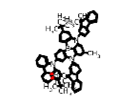 Cc1cc2c3c(c1)N(c1ccc4c(c1)C(C)(C)c1ccccc1-4)c1cc(C(C)(C)C)ccc1B3c1ccc(N(c3ccc(C(C)(C)C)cc3)c3ccccc3-c3ccccc3)cc1N2c1ccc2c(c1)C(C)(C)c1ccccc1-2